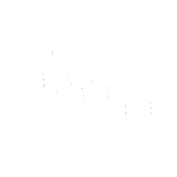 Cc1cc(C2CCC(C3CCCCC3)CC2)cc(F)c1F